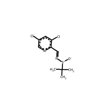 CC(C)(C)[S+]([O-])/N=C/c1ncc(Cl)cc1Cl